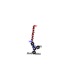 CCc1ccc(-c2cc(-c3cc(OC)cc(OC)c3)cn3cc(-c4ccc(NCCOCCOCCOCCOCCO)cc4)nc23)cc1